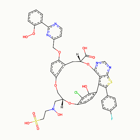 O=C(O)[C@H]1Cc2cc(ccc2OCc2ccnc(-c3ccccc3OO)n2)OC[C@@H](CN(O)CCS(=O)(=O)O)Oc2ccc(c(O)c2Cl)-c2c(-c3ccc(F)cc3)sc3ncnc(c23)O1